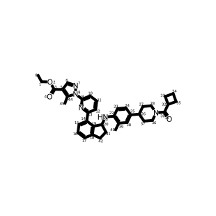 CCOC(=O)c1cnn(-c2cccc(-c3cccc4c3C(Nc3ccc(C5CCN(C(=O)C6CCC6)CC5)cc3C)CC4)n2)c1C